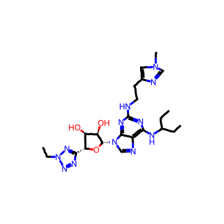 CCC(CC)Nc1nc(NCCc2cn(C)cn2)nc2c1ncn2[C@@H]1O[C@H](c2nnn(CC)n2)[C@@H](O)[C@H]1O